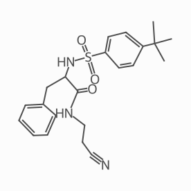 CC(C)(C)c1ccc(S(=O)(=O)NC(Cc2ccccc2)C(=O)NCCC#N)cc1